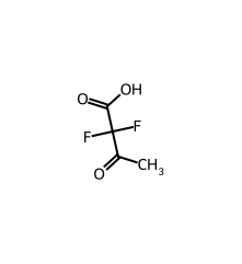 CC(=O)C(F)(F)C(=O)O